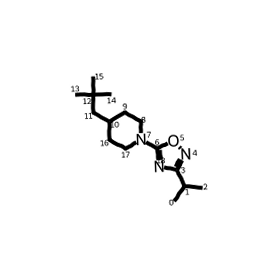 CC(C)c1noc(N2CCC(CC(C)(C)C)CC2)n1